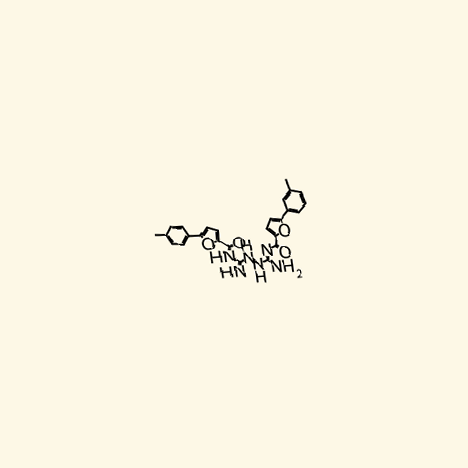 Cc1ccc(-c2ccc(C(=O)NC(=N)NNC(N)=NC(=O)c3ccc(-c4cccc(C)c4)o3)o2)cc1